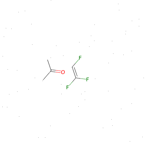 CC(C)=O.FC=C(F)F